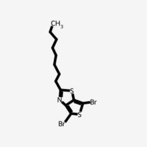 CCCCCCCCc1nc2c(Br)sc(Br)c2s1